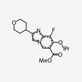 COC(=O)c1cn2cc(C3CCOCC3)nc2c(F)c1OC(C)C